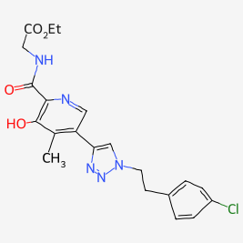 CCOC(=O)CNC(=O)c1ncc(-c2cn(CCc3ccc(Cl)cc3)nn2)c(C)c1O